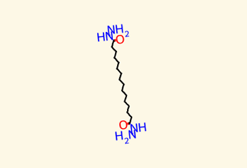 NNC(=O)CCCCCCCCCCCCCCC(=O)NN